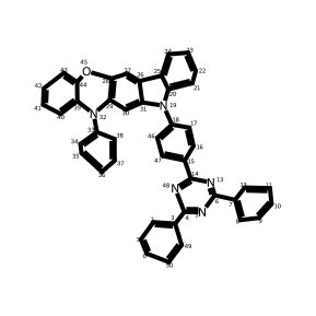 c1ccc(-c2nc(-c3ccccc3)nc(-c3ccc(-n4c5ccccc5c5cc6c(cc54)N(c4ccccc4)c4ccccc4O6)cc3)n2)cc1